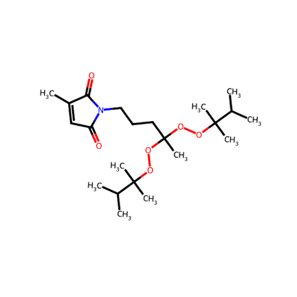 CC1=CC(=O)N(CCCC(C)(OOC(C)(C)C(C)C)OOC(C)(C)C(C)C)C1=O